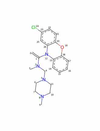 C=C(N(C)CN1CCN(C)CC1)N1c2ccccc2Oc2ccc(Cl)cc21